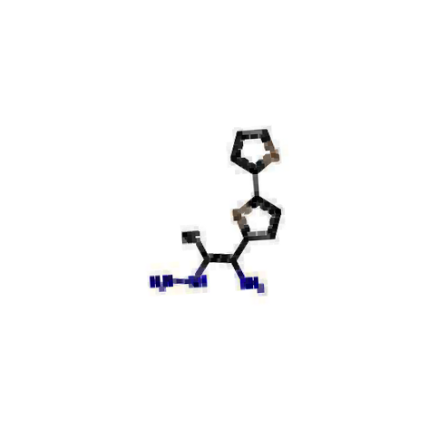 N#C/C(NN)=C(/N)c1ccc(-c2cccs2)s1